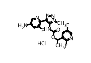 C[C@@H](OC(=O)Nc1c(-c2ncc(N)cc2F)nnn1C)c1cc(F)cnc1F.Cl